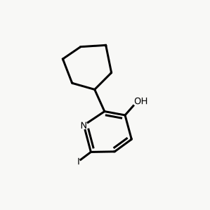 Oc1ccc(I)nc1C1CCCCC1